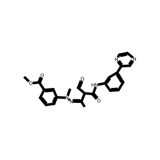 COC(=O)c1cccc(N(C)/N=C(/C)C(C=O)C(=O)Nc2cccc(-c3cnccn3)c2)c1